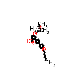 CCCCCCCCOc1ccc(-c2ccc(-c3cc(OCCC[Si](C)(C)OCC)ccc3C(=O)O)cc2)cc1